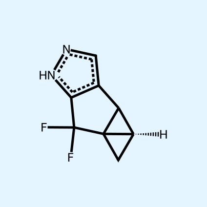 FC1(F)c2[nH]ncc2C2[C@H]3CC231